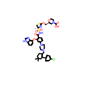 CC1(C)CCC(CN2CCN(c3ccc(C(=O)NS(=O)(=O)[C@@]4(C)CSC(OC[C@@H]5CN(C(=O)O)CCO5)=N4)c(Oc4cccc5[nH]cnc45)c3)CC2)=C(c2ccc(Cl)cc2)C1